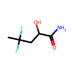 CC(F)(F)CC(O)C(N)=O